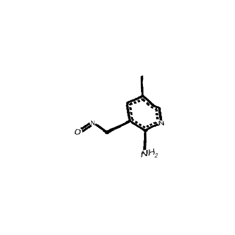 Cc1cnc(N)c(CN=O)c1